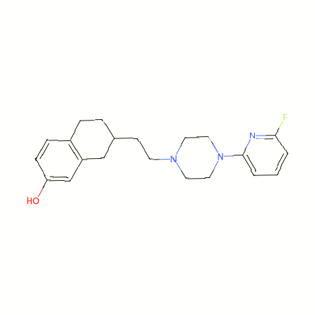 Oc1ccc2c(c1)CC(CCN1CCN(c3cccc(F)n3)CC1)CC2